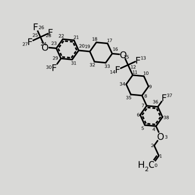 C=CCOc1ccc(C2CCC(C(F)(F)OC3CCC(c4ccc(OC(F)(F)F)c(F)c4)CC3)CC2)c(F)c1